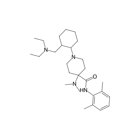 CCN(CC)CC1CCCCC1N1CCC(C(=O)Nc2c(C)cccc2C)(N(C)C)CC1